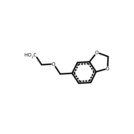 O=C(O)COCc1ccc2c(c1)OCO2